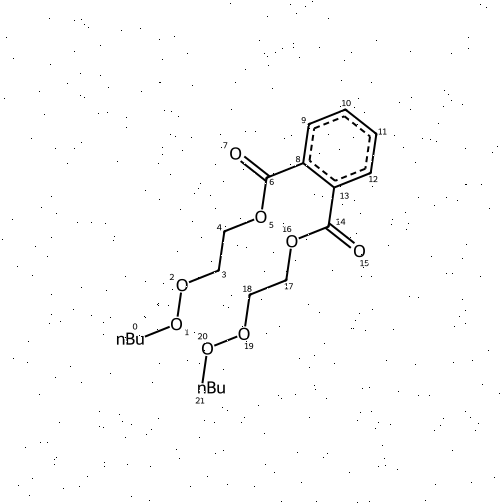 CCCCOOCCOC(=O)c1ccccc1C(=O)OCCOOCCCC